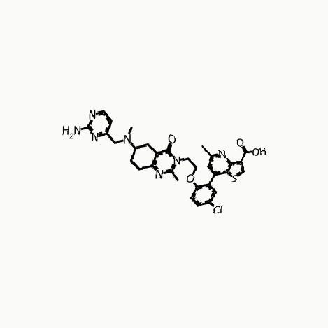 Cc1cc(-c2cc(Cl)ccc2OCCn2c(C)nc3c(c2=O)CC(N(C)Cc2ccnc(N)n2)CC3)c2scc(C(=O)O)c2n1